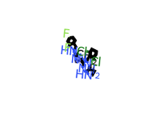 C=C(/N=C\c1nc(-c2c(Cl)cccc2Cl)n(C[C@H]2CCNC2)c1N)NCc1ccc(F)cc1F